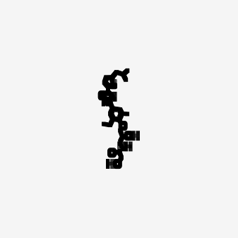 CCc1cc(-c2noc(-c3ccc(CC(C)C)s3)n2)cc(C)c1OCC(O)CNC(=O)CO